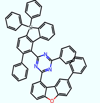 c1ccc(-c2ccc3oc4cccc(-c5nc(-c6ccccc6)nc(-c6c(-c7ccccc7)ccc7c6-c6ccccc6[Si]7(c6ccccc6)c6ccccc6)n5)c4c3c2)cc1